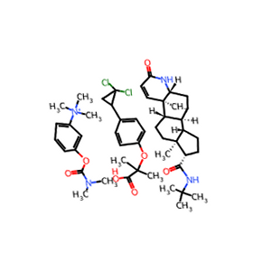 CC(C)(C)NC(=O)[C@H]1CC[C@H]2[C@@H]3CC[C@H]4NC(=O)C=C[C@]4(C)[C@H]3CC[C@]12C.CC(C)(Oc1ccc(C2CC2(Cl)Cl)cc1)C(=O)O.CN(C)C(=O)Oc1cccc([N+](C)(C)C)c1